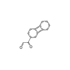 O=CC(=O)c1ccc2c(c1)=c1ccccc1=2